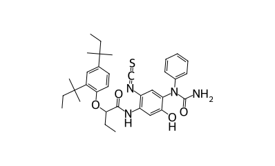 CCC(Oc1ccc(C(C)(C)CC)cc1C(C)(C)CC)C(=O)Nc1cc(O)c(N(C(N)=O)c2ccccc2)cc1N=C=S